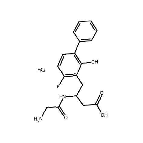 Cl.NCC(=O)NC(CC(=O)O)Cc1c(F)ccc(-c2ccccc2)c1O